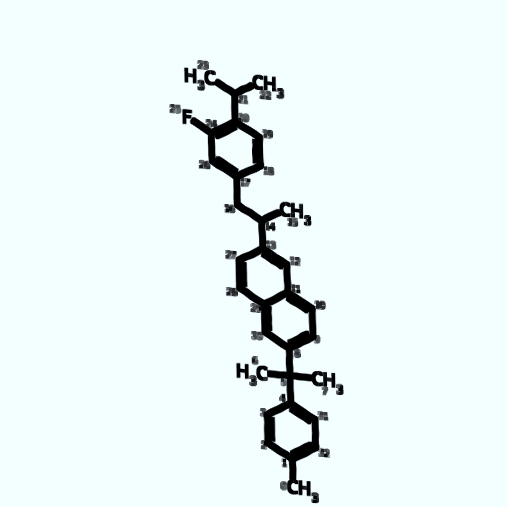 Cc1ccc(C(C)(C)c2ccc3cc(C(C)Cc4ccc(C(C)C)c(F)c4)ccc3c2)cc1